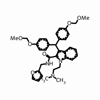 COCOc1ccc(C(c2ccc(OCOC)cc2)c2c(C(=O)NCc3ccco3)n(CCN(C)C)c3ccccc23)cc1